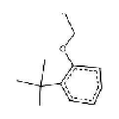 [CH2]COc1ccccc1C(C)(C)C